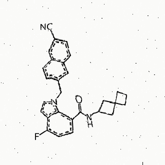 N#Cc1ccc2cc(Cn3ccc4c(F)ccc(C(=O)NC5CC6(CCC6)C5)c43)ccc2c1